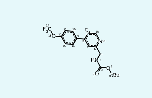 CC(C)(C)OC(=O)NCc1cc(-c2ccc(OC(F)(F)F)cc2)ncn1